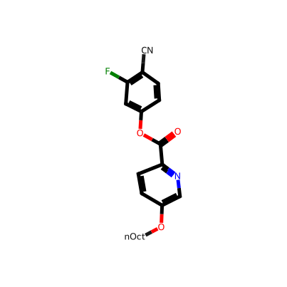 CCCCCCCCOc1ccc(C(=O)Oc2ccc(C#N)c(F)c2)nc1